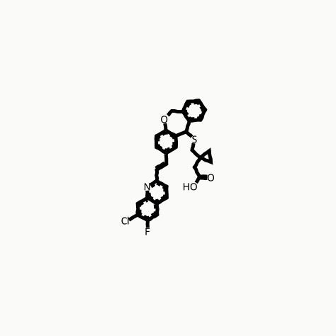 O=C(O)CC1(CSC2c3ccccc3COc3ccc(C=Cc4ccc5cc(F)c(Cl)cc5n4)cc32)CC1